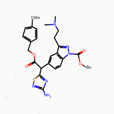 COc1ccc(COC(=O)C(c2ccc3c(c2)c(CCN(C)C)nn3C(=O)OC(C)(C)C)c2nc(N)ns2)cc1